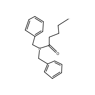 [CH2]CCCC(=O)N(Cc1ccccc1)Cc1ccccc1